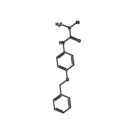 CCN(C)C(=O)Nc1ccc(OCc2ccccc2)cc1